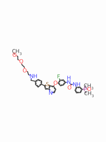 COCCOCCOCCNCc1ccc(-c2cc3nccc(Oc4ccc(NC(=O)Nc5cccc(P(C)(C)=O)c5)cc4F)c3s2)cc1